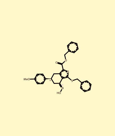 COc1ccc([C@@H]2C/C(=N\O)c3c(SCc4ccccc4)sc(C(=O)OCc4ccccc4)c3C2)cc1